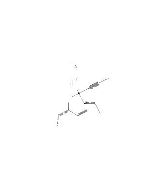 C=C/C(=C\C)OC(BOCl)(C#CC)C=CC